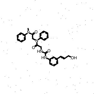 CN(C(=O)CN(C(=O)CNC(=O)Nc1cccc(C=CCO)c1)c1ccccc1)c1ccccc1